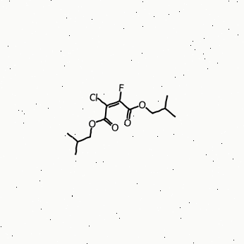 CC(C)COC(=O)/C(F)=C(/Cl)C(=O)OCC(C)C